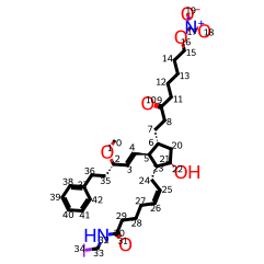 CO[C@H](/C=C/[C@H]1[C@H](CCC(=O)CCCCCO[N+](=O)[O-])C[C@H](O)[C@@H]1C/C=C\CCCC(=O)NCI)CCc1ccccc1